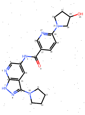 O=C(Nc1cnc2[nH]nc(N3CCCC3)c2c1)c1ccc(N2CCC(O)C2)nc1